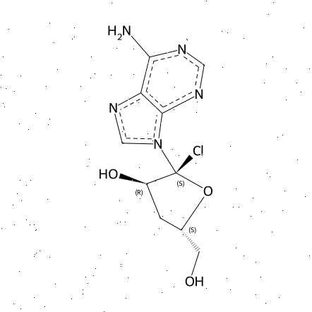 Nc1ncnc2c1ncn2[C@]1(Cl)O[C@H](CO)C[C@H]1O